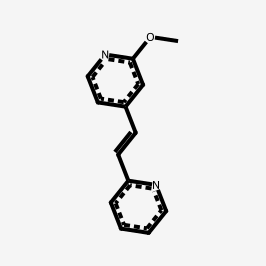 COc1cc(C=Cc2ccccn2)ccn1